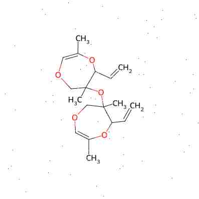 C=CC1OC(C)=COCC1(C)OC1(C)COC=C(C)OC1C=C